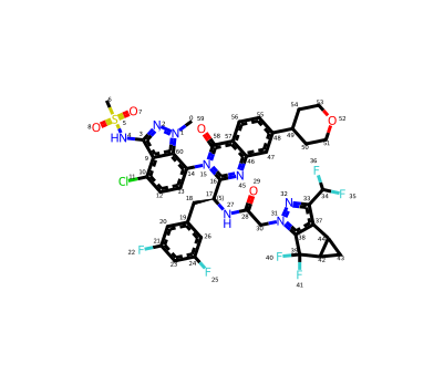 Cn1nc(NS(C)(=O)=O)c2c(Cl)ccc(-n3c([C@H](Cc4cc(F)cc(F)c4)NC(=O)Cn4nc(C(F)F)c5c4C(F)(F)C4CC54)nc4cc(C5CCOCC5)ccc4c3=O)c21